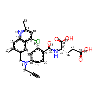 C#CCN(Cc1cc2c(Cl)cc(C)nc2cc1C)c1ccc(C(=O)N[C@@H](CCC(=O)O)C(=O)O)cc1